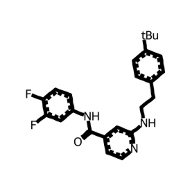 CC(C)(C)c1ccc(CCNc2cc(C(=O)Nc3ccc(F)c(F)c3)ccn2)cc1